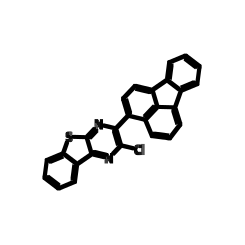 Clc1nc2c(nc1-c1ccc3c4c(cccc14)-c1ccccc1-3)sc1ccccc12